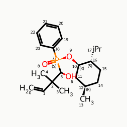 C=CC(C)(C)C(O)[P@@](=O)(O[C@@H]1C[C@H](C)CC[C@H]1C(C)C)c1ccccc1